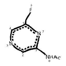 CC(=O)Nc1cncc(F)n1